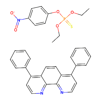 CCOP(=S)(OCC)Oc1ccc([N+](=O)[O-])cc1.c1ccc(-c2ccnc3c2ccc2c(-c4ccccc4)ccnc23)cc1